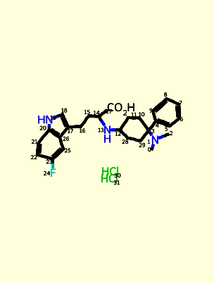 CN(C)C1(c2ccccc2)CCC(NC(CCc2c[nH]c3ccc(F)cc23)C(=O)O)CC1.Cl.Cl